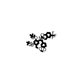 CCc1cc(-c2nnn(Cc3cc(C(F)(F)F)ccc3Cl)c2-c2ccc3c(c2)OCCO3)c(O[Si](C)(C)C(C)(C)C)cc1O[Si](C)(C)C(C)(C)C